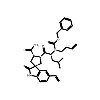 C=CCCN(C(=O)OCc1ccccc1)[C@@H](CC(C)C)C(=O)N1C[C@]2(C[C@H]1C(N)=O)C(=O)Nc1ccc(C=C)cc12